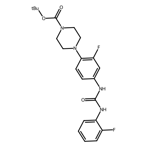 CC(C)(C)OC(=O)N1CCN(c2ccc(NC(=O)Nc3ccccc3F)cc2F)CC1